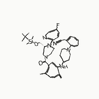 Cc1cc(C)c(C(=O)N2CCN(c3ccc(F)cn3)[C@@H](CO[Si](C)(C)C(C)(C)C)C2)cc1NC1CCN(c2ccccc2C#N)CC1